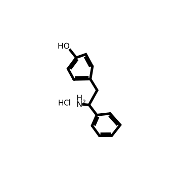 Cl.NC(Cc1ccc(O)cc1)c1ccccc1